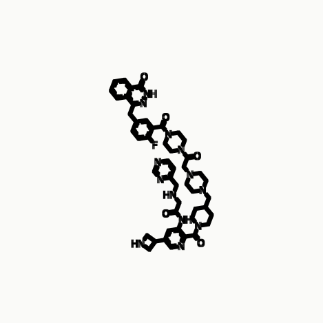 O=C(CNCc1ccncn1)Nc1cc(C2CNC2)cnc1C(=O)N1CCC(CN2CCN(CC(=O)N3CCN(C(=O)c4cc(Cc5n[nH]c(=O)c6ccccc56)ccc4F)CC3)CC2)CC1